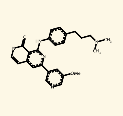 COc1cncc(-c2cc3c(c(Nc4ccc(CCCN(C)C)cc4)n2)C(=O)[N]C=C3)c1